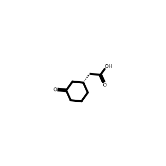 O=C(O)C[C@@H]1CCCC(=O)C1